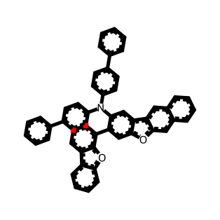 c1ccc(-c2ccc(N(c3ccc(-c4ccccc4)cc3)c3cc4c(cc3-c3cccc5c3oc3ccccc35)oc3cc5ccccc5cc34)cc2)cc1